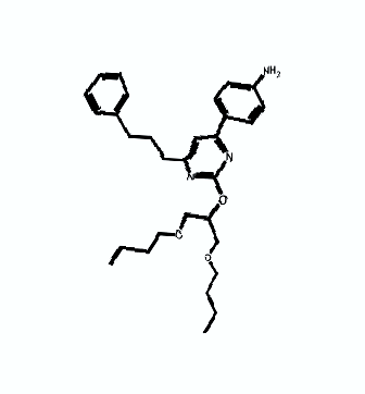 CCCCOCC(COCCCC)Oc1nc(CCCc2ccccc2)cc(-c2ccc(N)cc2)n1